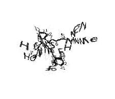 CNC(=NC#N)NCCCC1(c2ccccc2)SC(c2cc(F)ccc2F)=NN1C(=O)C(C)=NO